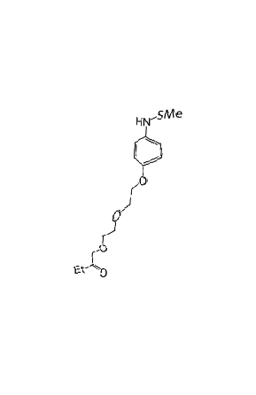 CCC(=O)COCCOCCOc1ccc(NSC)cc1